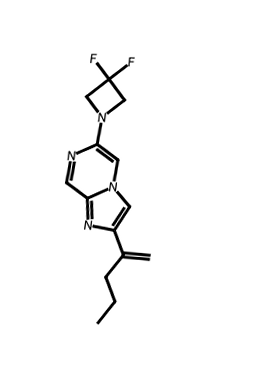 C=C(CCC)c1cn2cc(N3CC(F)(F)C3)ncc2n1